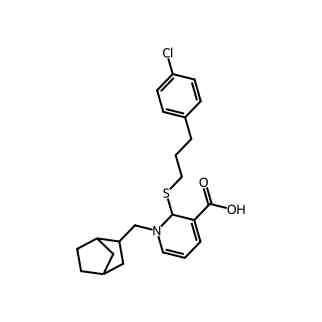 O=C(O)C1=CC=CN(CC2CC3CCC2C3)C1SCCCc1ccc(Cl)cc1